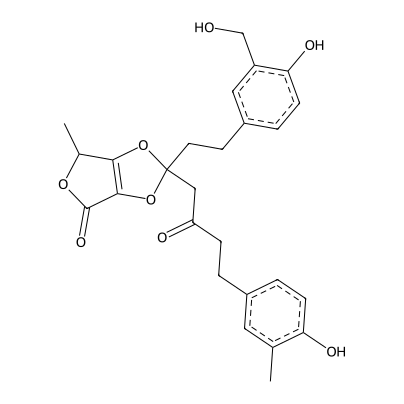 Cc1cc(CCC(=O)CC2(CCc3ccc(O)c(CO)c3)OC3=C(O2)C(C)OC3=O)ccc1O